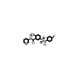 O=C(Nc1cccnc1)c1cc(S(=O)(=O)Nc2ccc(F)cc2)ccc1Cl